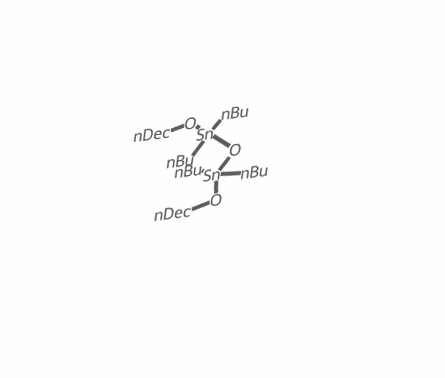 CCCCCCCCCC[O][Sn]([CH2]CCC)([CH2]CCC)[O][Sn]([CH2]CCC)([CH2]CCC)[O]CCCCCCCCCC